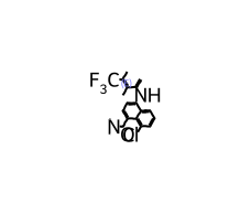 C=C(Nc1ccc(C(=O)N(C)C)c2c(Cl)cccc12)/C(C)=C(\C)C(F)(F)F